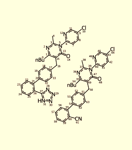 CCCCc1nc(C)n(-c2ccc(Cl)cn2)c(=O)c1Cc1ccc(-c2ccccc2-c2nnn[nH]2)cc1.CCCCc1nc(C)n(-c2ccc(Cl)cn2)c(=O)c1Cc1ccc(-c2ccccc2C#N)cc1